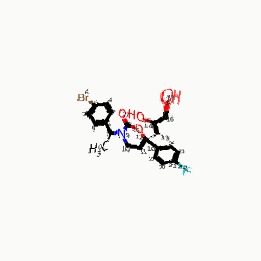 C[C@@H](c1ccc(Br)cc1)N1CC[C@](CC(O)CO)(c2ccc(F)cc2)OC1=O